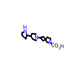 O=C(O)N1CCC2(CC(N3CCC(C4CCCN4)CC3)C2)C1